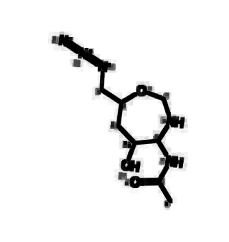 CC(=O)NC1NCOC(CN=[N+]=[N-])CC1O